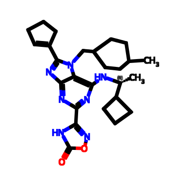 CC1CCC(Cn2c(C3=CCCC3)nc3nc(-c4noc(=O)[nH]4)nc(N[C@H](C)C4CCC4)c32)CC1